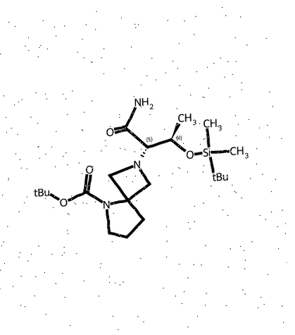 C[C@@H](O[Si](C)(C)C(C)(C)C)[C@@H](C(N)=O)N1CC2(CCCN2C(=O)OC(C)(C)C)C1